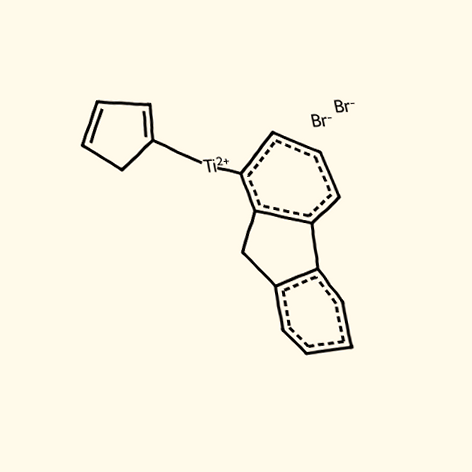 C1=CC[C]([Ti+2][c]2cccc3c2Cc2ccccc2-3)=C1.[Br-].[Br-]